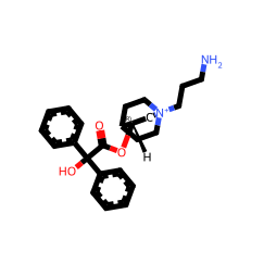 NCCC[N+]12CCC(CC1)[C@@H](OC(=O)C(O)(c1ccccc1)c1ccccc1)C2